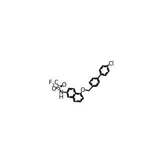 O=S(=O)(Nc1ccc2c(OCc3ccc(-c4ccc(Cl)cc4)cc3)cccc2c1)C(F)(F)F